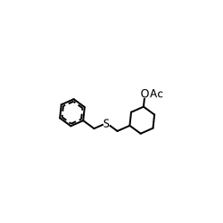 CC(=O)OC1CCCC(CSCc2ccccc2)C1